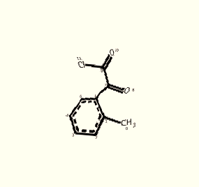 Cc1ccccc1C(=O)C(=O)Cl